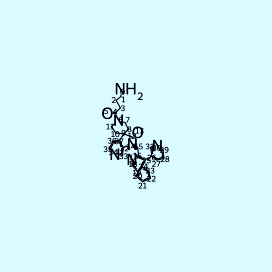 NCCCC(=O)N1CCC2(CC1)C(=O)N(Cc1ncc3ccccc3c1-c1cccnc1)c1cnccc12